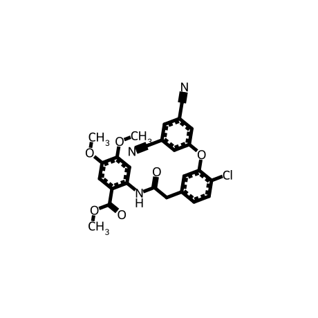 COC(=O)c1cc(OC)c(OC)cc1NC(=O)Cc1ccc(Cl)c(Oc2cc(C#N)cc(C#N)c2)c1